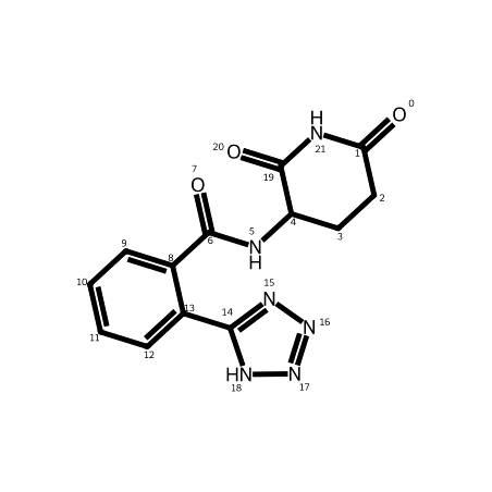 O=C1CCC(NC(=O)c2ccccc2-c2nnn[nH]2)C(=O)N1